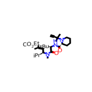 C#CC(C)(C)N1CCCC[C@@H]1C(=O)N[C@H](C(=O)N(C)[C@H](/C=C(\C)C(=O)OCC)C(C)C)C(C)(C)C